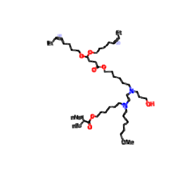 CC/C=C\CCCCOC(CCC(=O)OCCCCCCN(CCCO)CCN(CCCCCCOC)CCCCCCOC(=O)C(CCCC)CCCCCC)OCCCC/C=C\CC